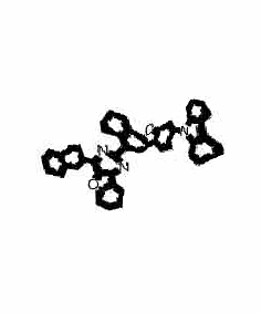 c1ccc2cc(-c3nc(-c4cc5c6ccc(-n7c8ccccc8c8ccccc87)cc6oc5c5ccccc45)nc4c3oc3ccccc34)ccc2c1